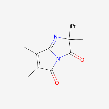 CC1=C(C)C2=NC(C)(C(C)C)C(=O)N2C1=O